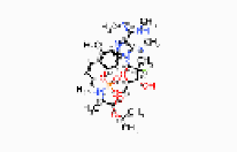 C=C/C=C\c1c(C)cccc1O[P@](=O)(N[C@@H](C)C(=O)OC(C)C)OC[C@H]1O[C@@H](n2cnc(/C(=N\C)NC)c2N=C)[C@](C)(F)[C@@H]1O